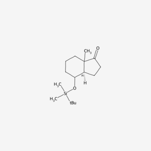 CC12CCCC(O[Si](C)(C)C(C)(C)C)[C@@H]1CCC2=O